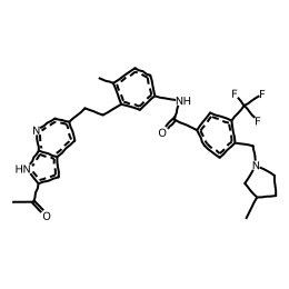 CC(=O)c1cc2cc(CCc3cc(NC(=O)c4ccc(CN5CCC(C)C5)c(C(F)(F)F)c4)ccc3C)cnc2[nH]1